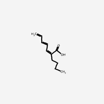 C=CC=CC=C(CCCC)C(=O)O